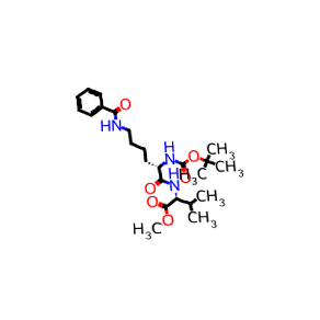 COC(=O)[C@H](NC(=O)[C@H](CCCCNC(=O)c1ccccc1)NC(=O)OC(C)(C)C)C(C)C